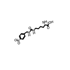 N[C@@H](CCCCNC(=O)NCc1ccc([N+](=O)[O-])cc1)C(=O)O